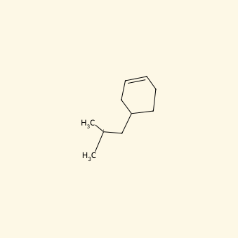 C[C](C)CC1CC=CCC1